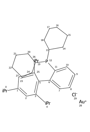 CC(C)c1cc(C(C)C)c(-c2ccccc2P(C2CCCCC2)C2CCCCC2)c(C(C)C)c1.[Au+].[Cl-]